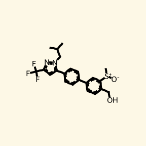 CC(C)Cn1nc(C(F)(F)F)cc1-c1ccc(-c2ccc(CO)c([S+](C)[O-])c2)cc1